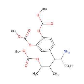 CCC(C)OC(=O)Oc1ccc(C(C(C)C(C)OC(=O)OC(C)CC)[C@H](N)C(=O)O)cc1OC(=O)OC(C)CC